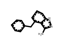 Nc1n[nH]c2cccc(Cc3ccccc3)c12